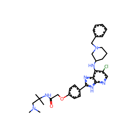 CN(C)CC(C)(C)NC(=O)COc1ccc(-c2nc3c(NC4CCCN(Cc5ccccc5)C4)c(Cl)cnc3[nH]2)cc1